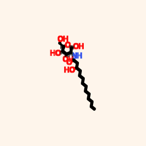 CCCCCCCCCCCC(O)CC(=O)N[C@@H]1[C@@H](O)[C@H](O)[C@@H](CO)O[C@@H]1O